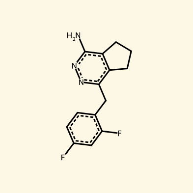 Nc1nnc(Cc2ccc(F)cc2F)c2c1CCC2